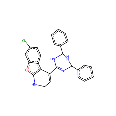 Clc1ccc2c3c(oc2c1)NCC=C3C1=NC(c2ccccc2)NC(c2ccccc2)N1